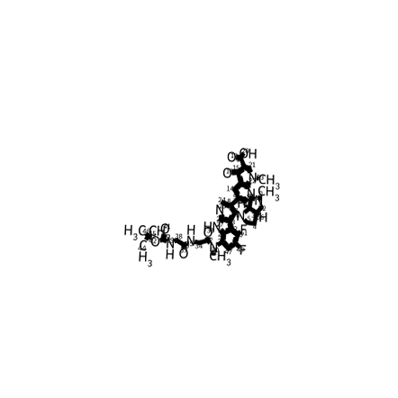 CN1C[C@@H]2CCN(c3c(-c4cnc5c(c4)c(=O)c(C(=O)O)cn5C)cnc4[nH]c5c(N(C)C(=O)CNC(=O)CNC(=O)OC(C)(C)C)cc(F)c(F)c5c34)[C@@H]2C1